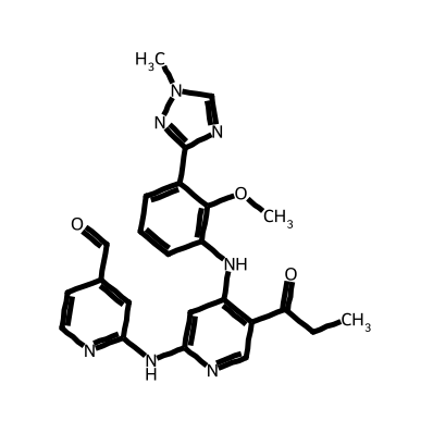 CCC(=O)c1cnc(Nc2cc(C=O)ccn2)cc1Nc1cccc(-c2ncn(C)n2)c1OC